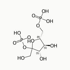 O=P(O)(O)OC[C@H]1OC(CO)(OP(=O)(O)O)[C@@H](O)[C@@H]1O